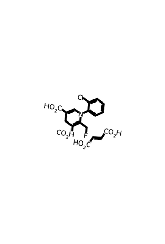 O=C(O)C1=CN(c2ccccc2Cl)C(CF)=C(C(=O)O)C1.O=C(O)C=CC(=O)O